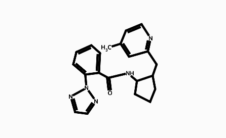 Cc1ccnc(CC2CCCC2NC(=O)c2ccccc2-n2nccn2)c1